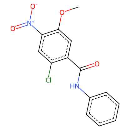 COc1cc(C(=O)Nc2ccccc2)c(Cl)cc1[N+](=O)[O-]